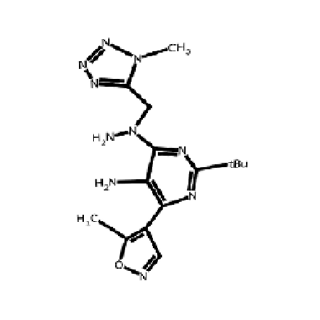 Cc1oncc1-c1nc(C(C)(C)C)nc(N(N)Cc2nnnn2C)c1N